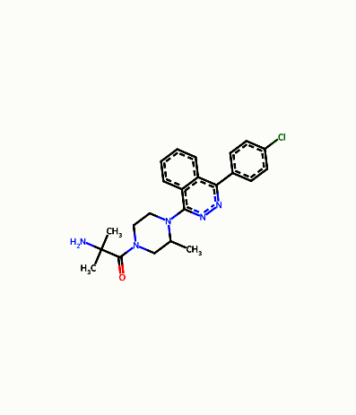 CC1CN(C(=O)C(C)(C)N)CCN1c1nnc(-c2ccc(Cl)cc2)c2ccccc12